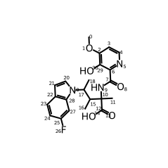 COc1ccnc(C(=O)NC(C)(C(=O)O)C(C)C(C)n2ccc3ccc(F)cc32)c1O